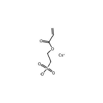 C=CC(=O)OCCS(=O)(=O)[O-].[Cs+]